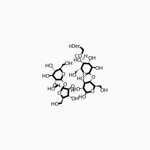 CCCCCCCCCCCC(=O)O.OC[C@H]1O[C@@H](O[C@H]2[C@H](O)[C@@H](O)[C@H](O)O[C@@H]2CO)[C@H](O)[C@@H](O)[C@H]1O.OC[C@H]1O[C@@](CO)(O[C@H]2O[C@H](CO)[C@@H](O)[C@H](O)[C@H]2O)[C@@H](O)[C@@H]1O